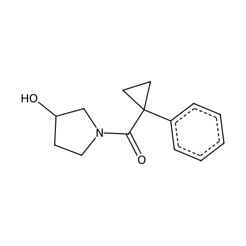 O=C(N1CCC(O)C1)C1(c2ccccc2)CC1